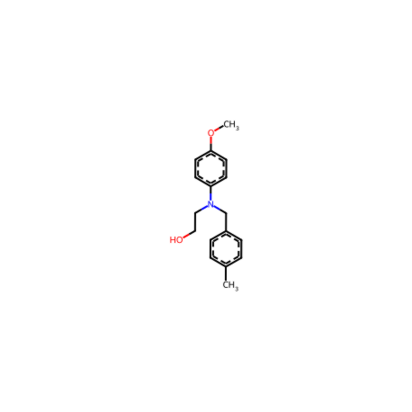 COc1ccc(N(CCO)Cc2ccc(C)cc2)cc1